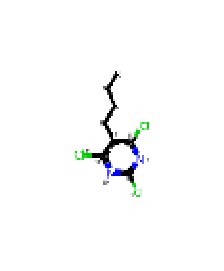 CCCCc1c(Cl)nc(Cl)nc1Cl